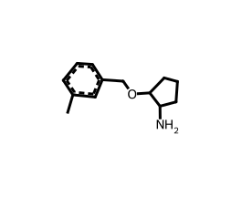 Cc1cccc(COC2CCCC2N)c1